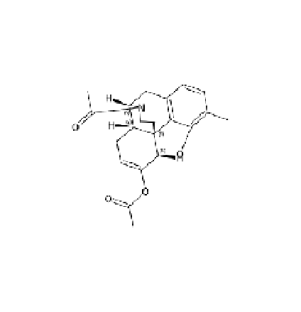 CC(=O)OC1=CC[C@@H]2[C@@H]3Cc4ccc(C)c5c4[C@]2(CCN3C(C)=O)[C@@H]1O5